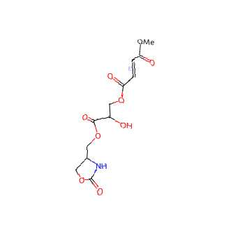 COC(=O)/C=C/C(=O)OCC(O)C(=O)OCC1COC(=O)N1